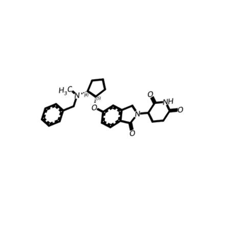 CN(Cc1ccccc1)[C@@H]1CCC[C@@H]1Oc1ccc2c(c1)CN(C1CCC(=O)NC1=O)C2=O